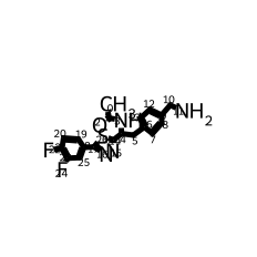 CC(=O)NC(Cc1ccc(CN)cc1)c1nnc(-c2ccc(F)c(F)c2)s1